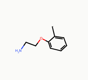 [CH2]c1ccccc1OCCN